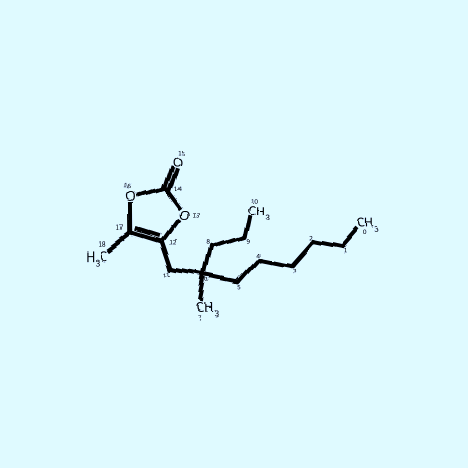 CCCCCCC(C)(CCC)Cc1oc(=O)oc1C